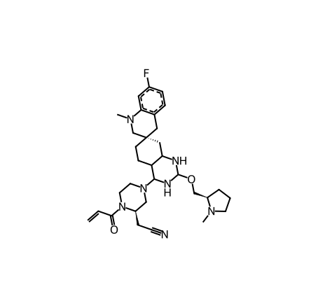 C=CC(=O)N1CCN(C2NC(OC[C@H]3CCCN3C)NC3C[C@@]4(CCC32)Cc2ccc(F)cc2N(C)C4)C[C@H]1CC#N